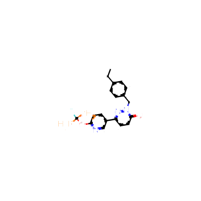 CCc1ccc(Cn2nc(-c3ccc(OC(F)(P)P)nc3)ccc2=O)cc1